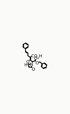 O=C(O)/C(C/C=C/c1ccccc1)=C1/O[C@@H]2CC(=O)N2C1C(=O)OCc1ccccc1